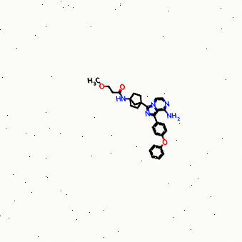 COCCC(=O)NC12CCC(c3nc(-c4ccc(Oc5ccccc5)cc4)c4c(N)nccn34)(CC1)C2